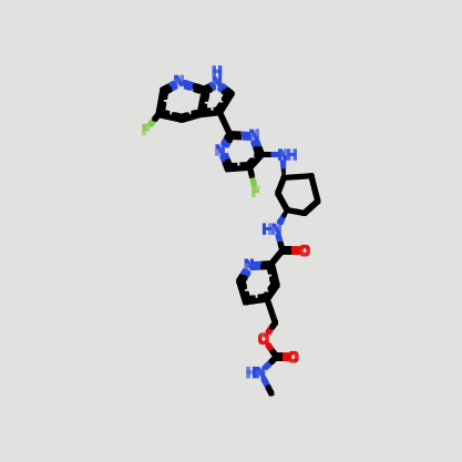 CNC(=O)OCc1ccnc(C(=O)N[C@@H]2CCC[C@H](Nc3nc(-c4c[nH]c5ncc(F)cc45)ncc3F)C2)c1